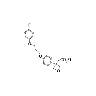 CCOC(=O)CC1(c2ccc(OCCCOc3ccc(F)cc3)cc2)COC1